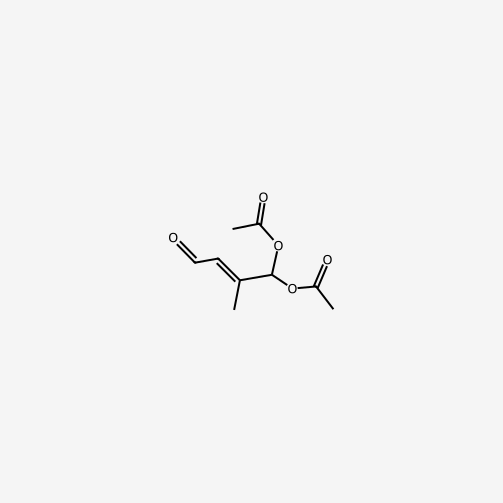 CC(=O)OC(OC(C)=O)/C(C)=C/C=O